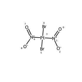 O=[N+]([O-])[Pt]([Br])([Br])[N+](=O)[O-]